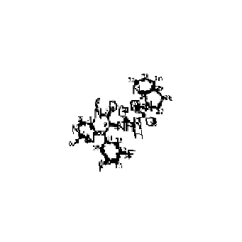 Cc1ncc(N(C)C(=O)[C@H](Cc2cc(F)cc(F)c2)NC(=O)NS(=O)(=O)N2CCc3cccnc32)cn1